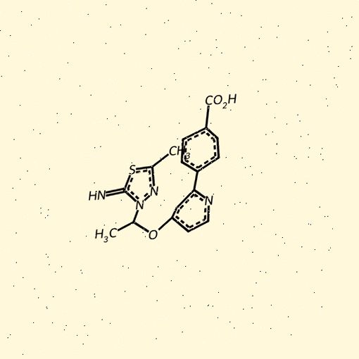 Cc1nn(C(C)Oc2ccnc(-c3ccc(C(=O)O)cc3)c2)c(=N)s1